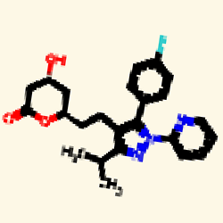 CC(C)c1nn(-c2ccccn2)c(-c2ccc(F)cc2)c1CC[C@@H]1C[C@H](O)CC(=O)O1